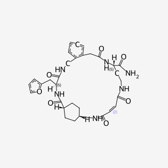 NC(=O)[C@@H]1CCNC(=O)/C=C\C(=O)N[C@H]2CC[C@H](CC2)C(=O)N[C@@H](Cc2ccco2)C(=O)NCc2ccccc2CC(=O)N1